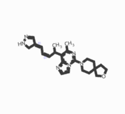 Cc1nc(N2CCC3(CCOC3)CC2)n2ccnc2c1C(C)/C=C\C=C1\C=NNC1